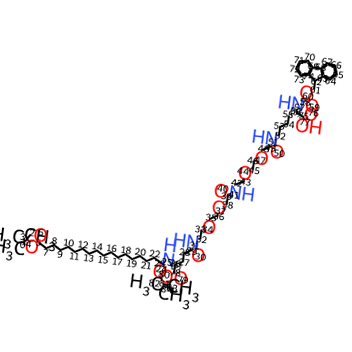 CC(C)(C)OC(=O)CCCCCCCCCCCCCCCCC(=O)N[C@@H](CCC(=O)NCCOCCOCC(=O)NCCOCCOCC(=O)NCCCC[C@H](NC(=O)OCC1c2ccccc2-c2ccccc21)C(=O)O)C(=O)OC(C)(C)C